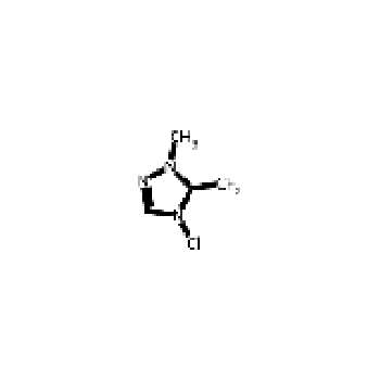 CN1N=CN(Cl)C1C(F)(F)F